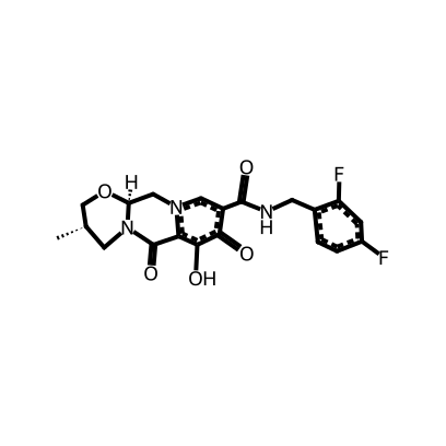 C[C@@H]1CO[C@H]2Cn3cc(C(=O)NCc4ccc(F)cc4F)c(=O)c(O)c3C(=O)N2C1